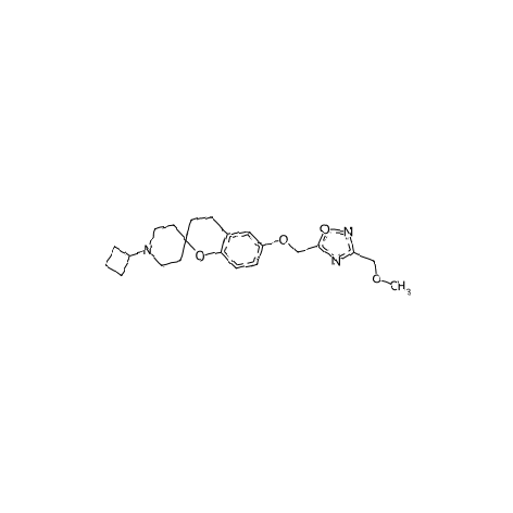 COCc1noc(COc2ccc3c(c2)CCC2(CCN(C4CCC4)CC2)O3)n1